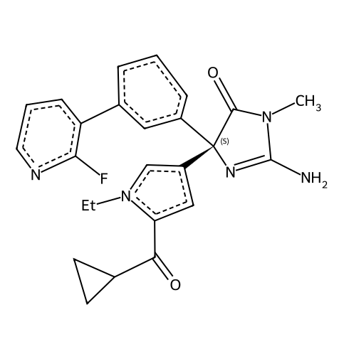 CCn1cc([C@]2(c3cccc(-c4cccnc4F)c3)N=C(N)N(C)C2=O)cc1C(=O)C1CC1